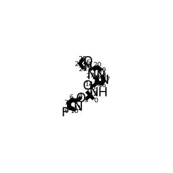 CC(C)(COc1ccc(F)cn1)NC(=O)c1cnn2ccc(N3CCCO3)nc12